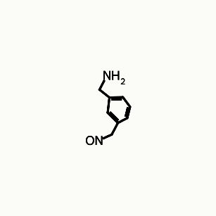 NCc1cccc(CN=O)c1